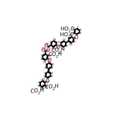 O=C(O)c1cccc(Oc2ccc(-c3ccc(Oc4cccc(C(=O)OC(=O)c5cccc(Oc6ccc(-c7ccc(Oc8cccc(C(=O)O)c8C(=O)O)cc7)cc6)c5C(=O)O)c4C(=O)O)cc3)cc2)c1C(=O)O